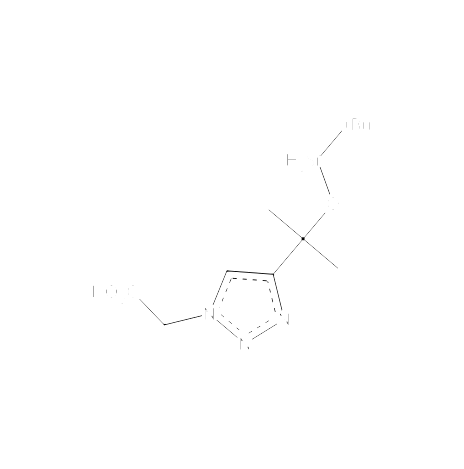 CC(C)(C)[SiH2]OC(C)(C)c1cn(CC(=O)O)nn1